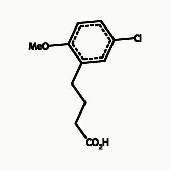 COc1ccc(Cl)cc1CCCC(=O)O